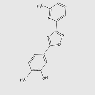 Cc1cccc(-c2noc(-c3ccc(C)c(O)c3)n2)n1